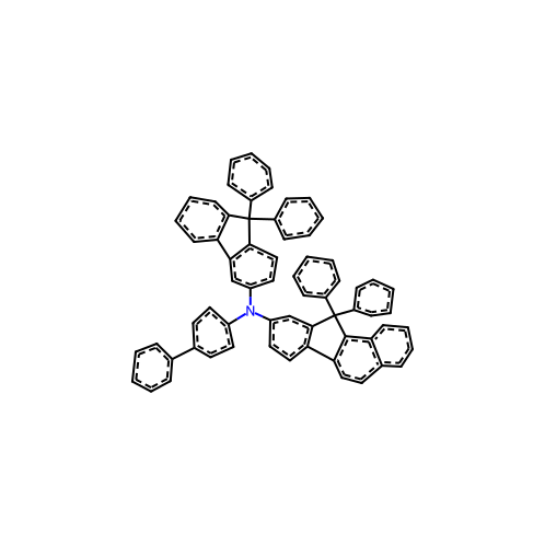 c1ccc(-c2ccc(N(c3ccc4c(c3)-c3ccccc3C4(c3ccccc3)c3ccccc3)c3ccc4c(c3)C(c3ccccc3)(c3ccccc3)c3c-4ccc4ccccc34)cc2)cc1